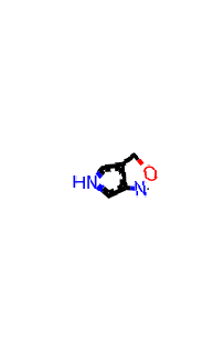 c1[nH]cc2c1CO[N]2